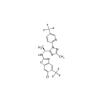 Cc1nc([C@H](C)Nc2nc3cc(C(F)(F)F)c(Cl)cc3o2)n(-c2ccc(C(F)(F)F)cn2)n1